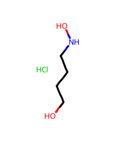 Cl.OCCCCNO